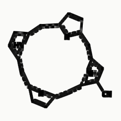 N#Cc1cc2cc3nc(cc4ccc(cc5nc(cc1[nH]2)C=C5)[nH]4)C=C3